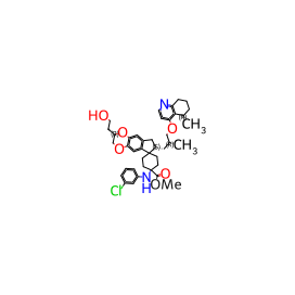 COC(=O)C1(Nc2cccc(Cl)c2)CCC2(CC1)c1cc3c(cc1C[C@@H]2C[C@@H](C)COc1ccnc2c1[C@H](C)CCC2)O[C@H](CCO)CO3